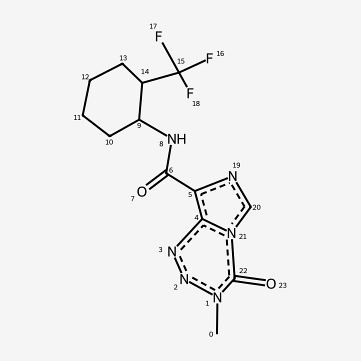 Cn1nnc2c(C(=O)NC3CCCCC3C(F)(F)F)ncn2c1=O